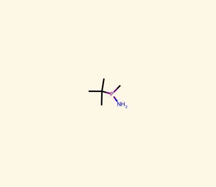 CP(N)C(C)(C)C